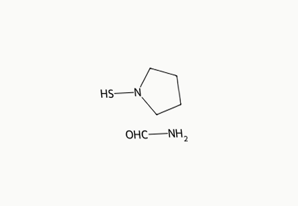 NC=O.SN1CCCC1